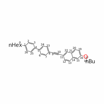 CCCCCCc1ccc(-c2ccc(C#Cc3ccc4cc(OCCCC)ccc4c3)cc2)cc1